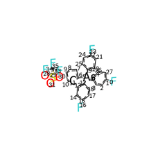 Fc1ccc([As+](c2ccccc2)(c2ccc(F)cc2)c2ccc(F)cc2)cc1.O=S(=O)([O-])C(F)(F)F